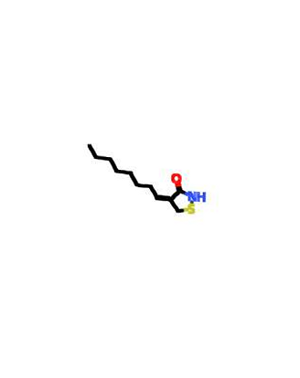 CCCCCCCC=C1CSNC1=O